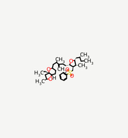 C=C(CC[C@@H]1O[C@H](C[C@H](C)CC)[C@H](C)[C@H]1CS(=O)(=O)c1ccccc1)[C@H](C)CC1CC[C@@H]2O[C@@H](C)C[C@]2(CC)O1